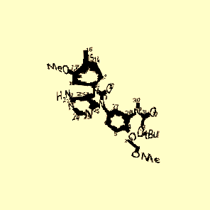 COCCOc1ccc(-n2c(=O)n(-c3ccc(C)c(OC)c3)c3c(N)ncnc32)cc1N(C)C(=O)OC(C)(C)C